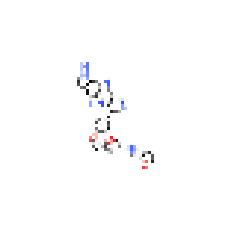 COc1ccc(-c2cncc(C#N)c2Nc2ccc3[nH]ccc3c2)cc1OCCNCc1ccco1